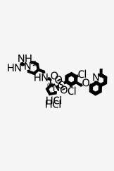 Cc1ccc2cccc(OCc3c(Cl)ccc(S(=O)(=O)N4CCC[C@H]4C(=O)NCC4CCN(C(=N)N)CC4)c3Cl)c2n1.Cl.Cl